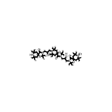 CCN1C(C)(C)CC2(CC1(C)C)OC(C)(C)N(CC(O)CN1C(=O)C3(CC(C)(C)N(CC(O)CN4C(=O)C5(CC(C)(C)NC(C)(C)C5)OC4(C)C)C(C)(C)C3)OC1(C)C)C2=O